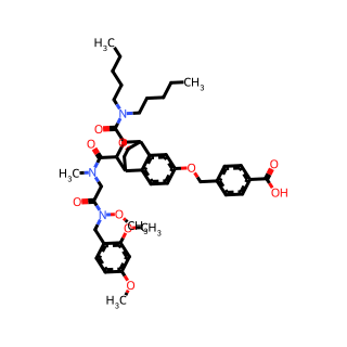 CCCCCN(CCCCC)C(=O)C1C2C(=O)CC(c3ccc(OCc4ccc(C(=O)O)cc4)cc32)C1C(=O)N(C)CC(=O)N(Cc1ccc(OC)cc1OC)OC